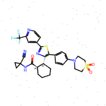 N#CC1(NC(=O)[C@@H]2CCCC[C@H]2c2nc(-c3ccnc(C(F)(F)F)c3)sc2-c2ccc(N3CCS(=O)(=O)CC3)cc2)CC1